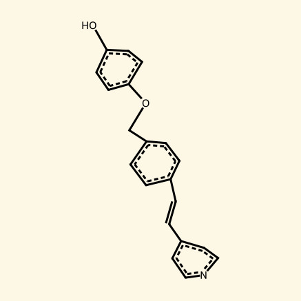 Oc1ccc(OCc2ccc(C=Cc3ccncc3)cc2)cc1